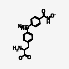 NC(Cc1ccc(Oc2ccc(C(=O)N[O-])cc2)cc1)C(=O)[O-].[Na+].[Na+]